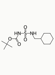 CC(C)(C)OC(=O)NS(=O)(=O)NCC1CCCCC1